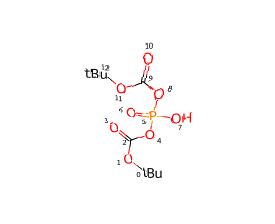 CC(C)(C)OC(=O)OP(=O)(O)OC(=O)OC(C)(C)C